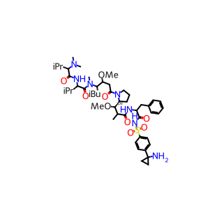 CCC(C)C(C(CC(=O)N1CCC[C@H]1C(OC)C(C)C(=O)NC(Cc1ccccc1)C(=O)NS(=O)(=O)c1ccc(C2(N)CC2)cc1)OC)N(C)C(=O)C(NC(=O)C(C(C)C)N(C)C)C(C)C